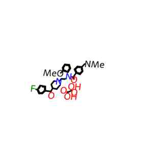 CNCc1ccc(C(=O)N(CCN2CCC(C(=O)c3ccc(F)cc3)CC2)c2ccccc2OC)cc1.O=C(O)C(=O)O